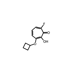 O=c1c(F)cccc(OC2CCC2)c1O